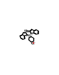 CC(C)(C)C1=Cc2ccccc2[CH]1[Hf+2]1([CH]2C(C(C)(C)C)=Cc3ccccc32)[CH]2CCCC[CH]21.[Cl-].[Cl-]